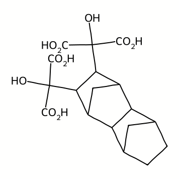 O=C(O)C(O)(C(=O)O)C1C2CC(C3C4CCC(C4)C23)C1C(O)(C(=O)O)C(=O)O